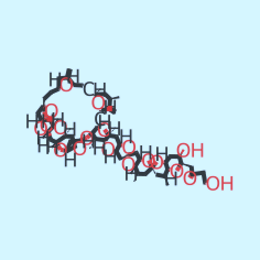 C=C1C[C@@H]2CC[C@]34C[C@H]5O[C@H]6[C@@H](O3)[C@H]3O[C@H](CC[C@@H]3O[C@H]6[C@@H]5O4)CC(=O)O[C@@H]3[C@@H](C)[C@@H]4O[C@@H]5C[C@]6(C[C@@H]7O[C@]8(C[C@H](C)[C@@H]9O[C@H](CC(=O)CCO)[C@H](O)C[C@@H]9O8)C[C@H](C)[C@@H]7O6)O[C@@H]5C[C@@H]4O[C@H]3C[C@H]3O[C@@H](CC[C@@H]1O2)C[C@@H](C)C3=C